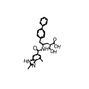 Cc1nc2c(C)cc(C(=O)NC(Cc3ccc(-c4ccccc4)cc3)C[C@H](CO)C(=O)O)cc2[nH]1